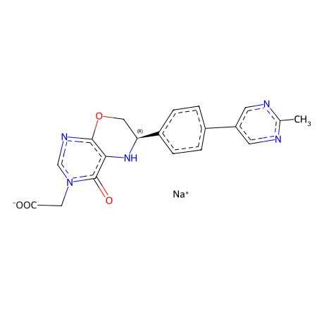 Cc1ncc(-c2ccc([C@@H]3COc4ncn(CC(=O)[O-])c(=O)c4N3)cc2)cn1.[Na+]